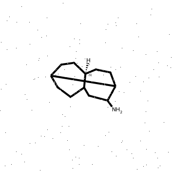 NC1CC2CCC3CC[C@H]2CCC13